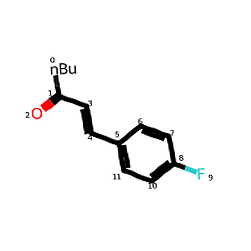 CCCCC(=O)/C=C/c1ccc(F)cc1